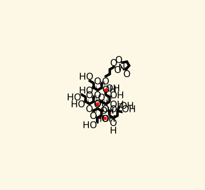 O=C(CCCO[C@H]1OC(CO)[C@@H](O)C(O[C@H]2OC(CO)[C@@H](O)C(O[C@H]3OC(CO)[C@@H](O)C(O)C3O[C@H]3OC(CO)[C@@H](O)C(O)C3O[C@H]3OC(CO)(CO)CC(O)C3O)C2O)C1O)ON1C(=O)CCC1=O